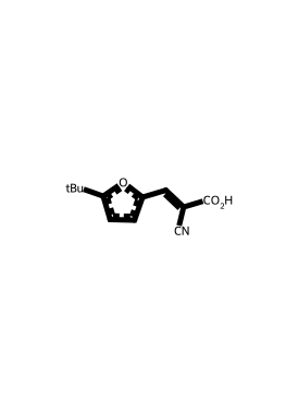 CC(C)(C)c1ccc(/C=C(\C#N)C(=O)O)o1